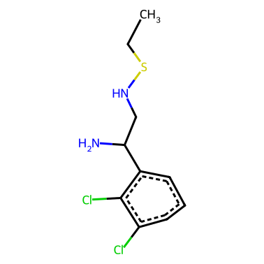 CCSNCC(N)c1cccc(Cl)c1Cl